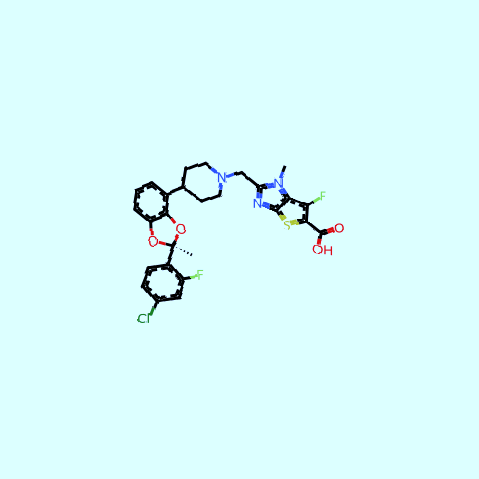 Cn1c(CN2CCC(c3cccc4c3O[C@@](C)(c3ccc(Cl)cc3F)O4)CC2)nc2sc(C(=O)O)c(F)c21